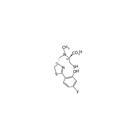 CN(C[C@H]1CSC(c2ccc(F)cc2O)=N1)[C@H](CS)C(=O)O